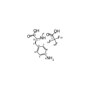 CN[C@@H](Cc1ccc(N)cc1)C(=O)O.O=C(O)C(F)(F)F